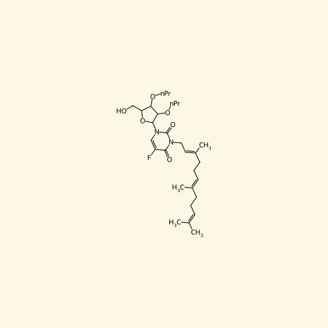 CCCOC1C(CO)OC(n2cc(F)c(=O)n(C/C=C(\C)CC/C=C(\C)CCC=C(C)C)c2=O)C1OCCC